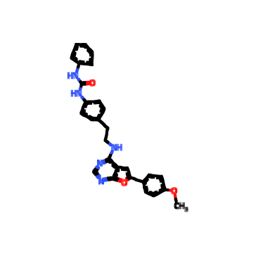 COc1ccc(-c2cc3c(NCCc4ccc(NC(=O)Nc5ccccc5)cc4)ncnc3o2)cc1